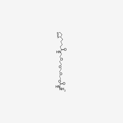 NNC(=O)OCCOCCOCCOCCNC(=O)CCCCC1CCSS1